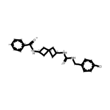 O=C(NCc1ccc(Cl)cc1)NC1CC2(C1)CC(NC(=O)c1ccccc1)C2